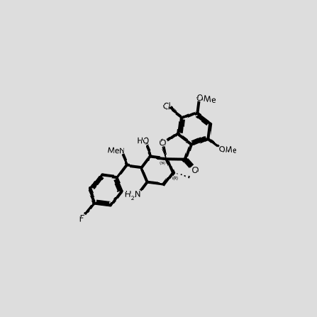 CNC(c1ccc(F)cc1)C1C(N)C[C@@H](C)[C@]2(Oc3c(Cl)c(OC)cc(OC)c3C2=O)C1O